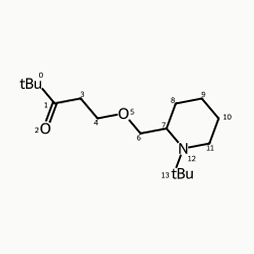 CC(C)(C)C(=O)CCOCC1CCCCN1C(C)(C)C